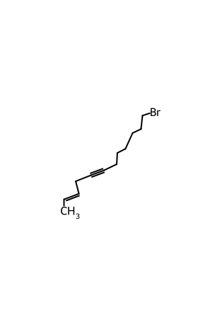 C/C=C/CC#CCCCCCCBr